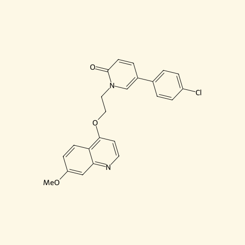 COc1ccc2c(OCCn3cc(-c4ccc(Cl)cc4)ccc3=O)ccnc2c1